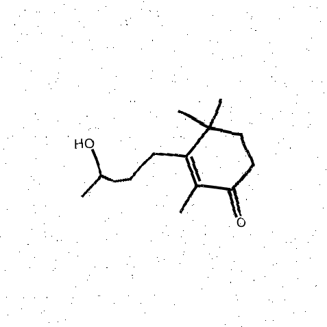 CC1=C(CCC(C)O)C(C)(C)CCC1=O